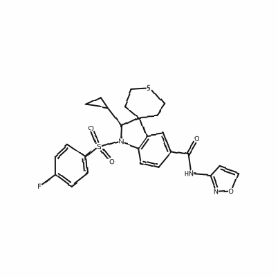 O=C(Nc1ccon1)c1ccc2c(c1)C1(CCSCC1)C(C1CC1)N2S(=O)(=O)c1ccc(F)cc1